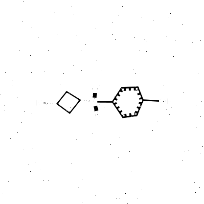 O=S(=O)(c1ccc(O)cc1)[C@H]1C[C@@H](O)C1